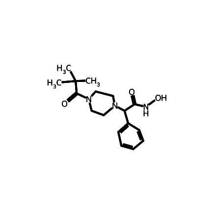 CC(C)(C)C(=O)N1CCN(C(C(=O)NO)c2ccccc2)CC1